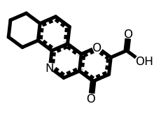 O=C(O)c1cc(=O)c2cnc3c4c(ccc3c2o1)CCCC4